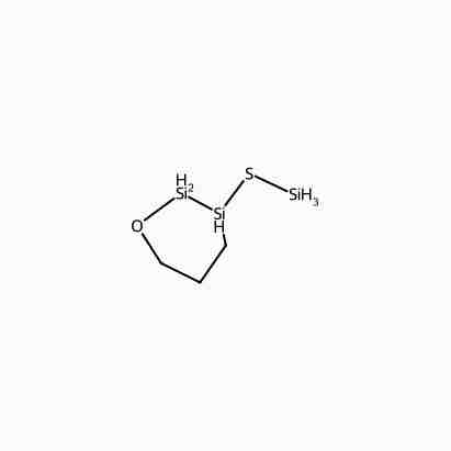 [SiH3]S[SiH]1CCCO[SiH2]1